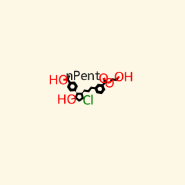 CCCCCC(O)c1ccc([C@@H]2[C@@H](CCCc3cccc(C(=O)OCCO)c3)[C@H](Cl)C[C@H]2O)cc1